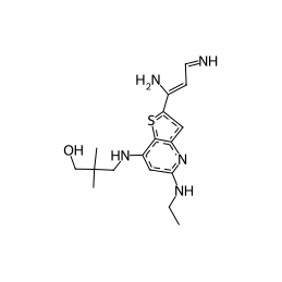 CCNc1cc(NCC(C)(C)CO)c2sc(/C(N)=C/C=N)cc2n1